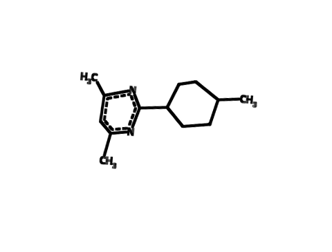 Cc1cc(C)nc(C2CCC(C)CC2)n1